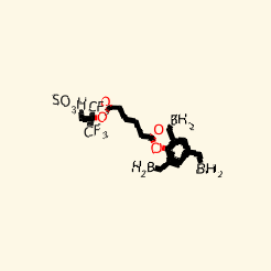 BCc1cc(CB)c(OC(=O)CCCCC(=O)OC(CS(=O)(=O)O)(C(F)(F)F)C(F)(F)F)c(CB)c1